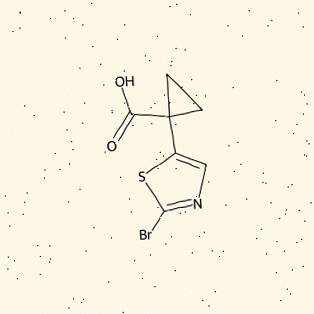 O=C(O)C1(c2cnc(Br)s2)CC1